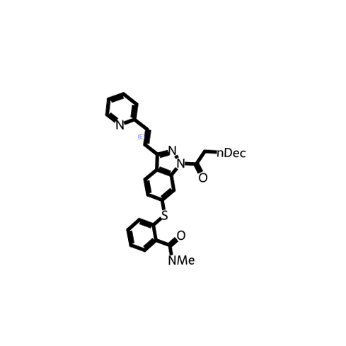 CCCCCCCCCCCC(=O)n1nc(/C=C/c2ccccn2)c2ccc(Sc3ccccc3C(=O)NC)cc21